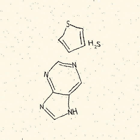 S.c1ccsc1.c1ncc2[nH]cnc2n1